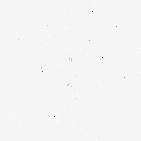 CC(C)c1cccc(C(C)C)c1N1/C(=C\C=C2C(=O)c3cc4ccccc4cc3C2=O)N(c2c(-c3cc(Cl)cc(Cl)c3)cccc2-c2cc(Cl)cc(Cl)c2)c2nc3cccc(Cl)c3nc21